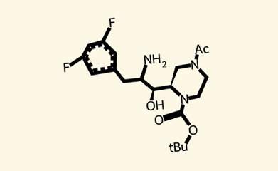 CC(=O)N1CCN(C(=O)OC(C)(C)C)[C@@H]([C@@H](O)C(N)Cc2cc(F)cc(F)c2)C1